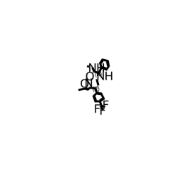 CNC(=O)[C@H](NCC[C@H](c1ccc(C(F)(F)F)cc1)c1cc(C)on1)c1ccccc1